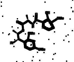 COc1ccc([C@H](C(C)C)[C@H](C)OC(=O)[C@H](C)NC(=O)c2nccc(OC)c2O)c(OC)c1